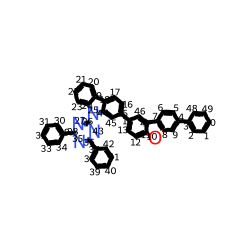 c1ccc(-c2ccc3c(c2)oc2ccc(-c4ccc5c6ccccc6n(-c6nc(-c7ccccc7)nc(-c7ccccc7)n6)c5c4)cc23)cc1